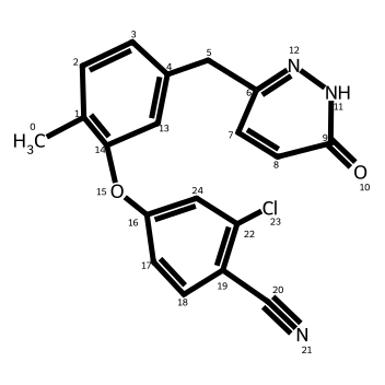 Cc1ccc(Cc2ccc(=O)[nH]n2)cc1Oc1ccc(C#N)c(Cl)c1